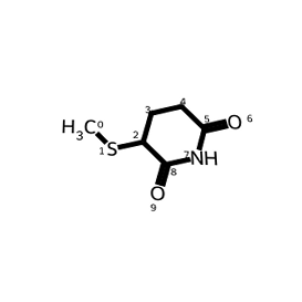 CSC1CCC(=O)NC1=O